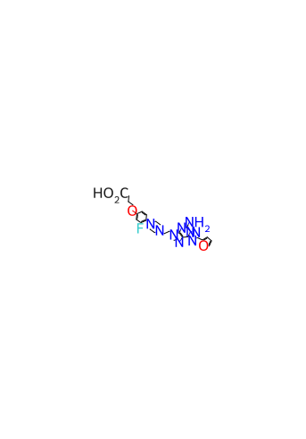 Nc1nc2c(ncn2CCN2CCN(c3ccc(OCCCC(=O)O)cc3F)CC2)c2nc(-c3ccco3)nn12